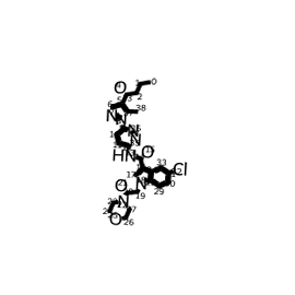 CCCC(=O)c1cnn(-c2ccc(NC(=O)c3cn(CC(=O)N4CCOCC4)c4ccc(Cl)cc34)nn2)c1C